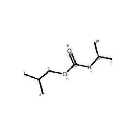 CC(C)COC(=O)[N]C(C)C